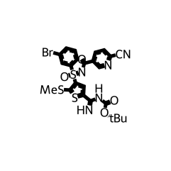 CSc1sc(C(=N)NC(=O)OC(C)(C)C)cc1S(=O)(=NC(=O)c1ccc(C#N)nc1)c1cccc(Br)c1